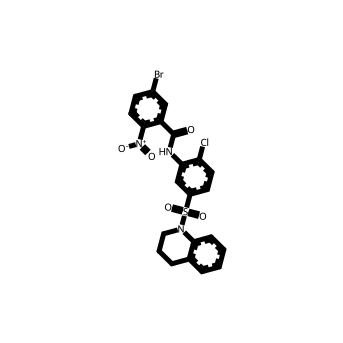 O=C(Nc1cc(S(=O)(=O)N2CCCc3ccccc32)ccc1Cl)c1cc(Br)ccc1[N+](=O)[O-]